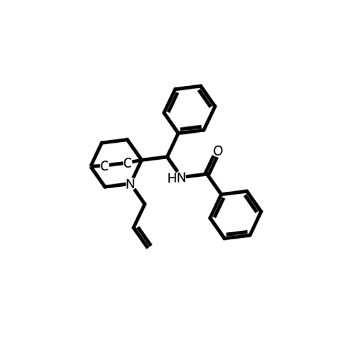 C=CCN1CC2CCC1(C(NC(=O)c1ccccc1)c1ccccc1)CC2